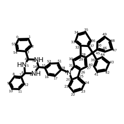 c1ccc(C2NC(c3ccccc3)NC(c3ccc(-n4c5ccccc5c5cc6c(cc54)-c4ccccc4C6(c4ccccc4)c4ccccc4)cc3)N2)cc1